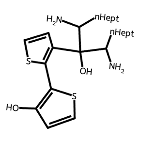 CCCCCCCC(N)C(O)(c1ccsc1-c1sccc1O)C(N)CCCCCCC